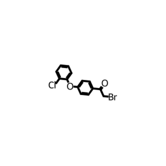 O=C(CBr)c1ccc(Oc2ccccc2Cl)cc1